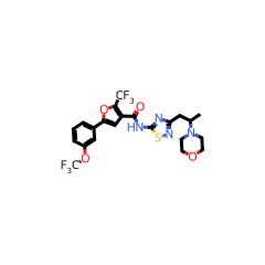 CC(Cc1nsc(NC(=O)c2cc(-c3cccc(OC(F)(F)F)c3)oc2C(F)(F)F)n1)N1CCOCC1